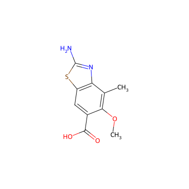 COc1c(C(=O)O)cc2sc(N)nc2c1C